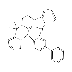 CC1(C)c2ccccc2B2c3ccc(-c4ccccc4)cc3-n3c4ccccc4c4ccc1c2c43